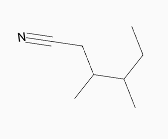 CCC(C)C(C)CC#N